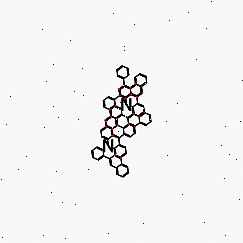 c1ccc(-c2ccc(N(c3ccccc3-c3ccc4ccccc4c3)c3ccccc3-c3cc4ccccc4c4ccc(-c5cccc(-c6ccc7cc(N(c8ccccc8-c8ccc9ccccc9c8)c8ccccc8-c8cc9ccccc9c9ccccc89)ccc7c6)c5)cc34)c3ccccc23)cc1